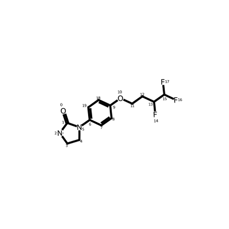 O=C1[N]CCN1c1ccc(OCCC(F)C(F)F)cc1